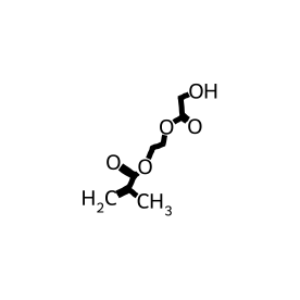 C=C(C)C(=O)OCCOC(=O)CO